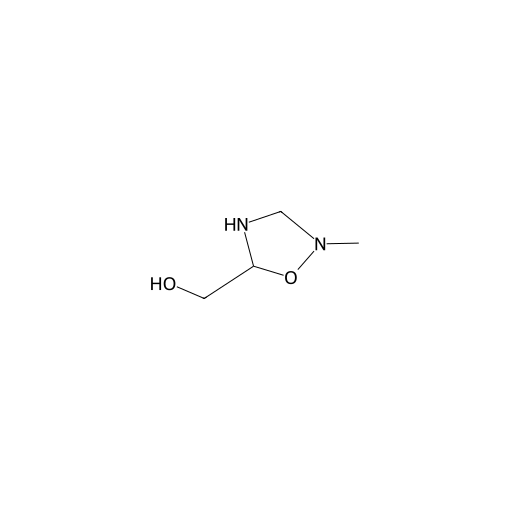 CN1CNC(CO)O1